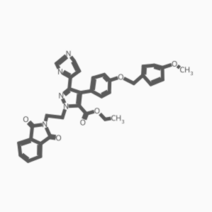 CCOC(=O)c1c(-c2ccc(OCc3ccc(OC)cc3)cc2)c(-c2ccncn2)nn1CCN1C(=O)c2ccccc2C1=O